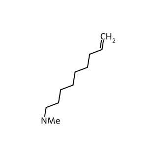 C=CCCCCCCCNC